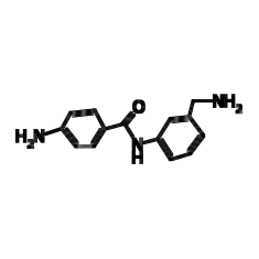 NCc1cccc(NC(=O)c2ccc(N)cc2)c1